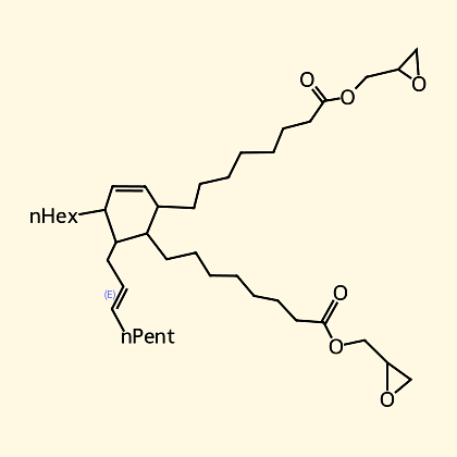 CCCCC/C=C/CC1C(CCCCCC)C=CC(CCCCCCCC(=O)OCC2CO2)C1CCCCCCCC(=O)OCC1CO1